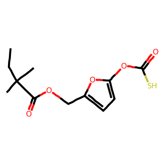 CCC(C)(C)C(=O)OCc1ccc(OC(=O)S)o1